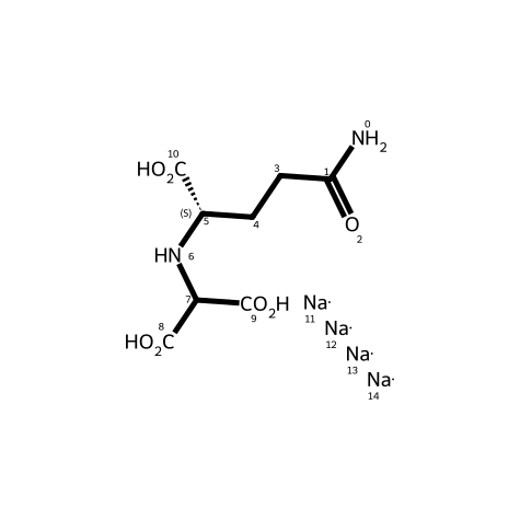 NC(=O)CC[C@H](NC(C(=O)O)C(=O)O)C(=O)O.[Na].[Na].[Na].[Na]